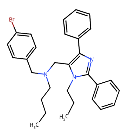 CCCCN(Cc1ccc(Br)cc1)Cc1c(-c2ccccc2)nc(-c2ccccc2)n1CCC